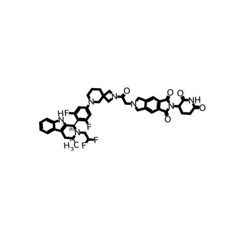 C[C@@H]1Cc2c([nH]c3ccccc23)[C@@H](c2c(F)cc(N3CCCC4(CN(C(=O)CN5Cc6cc7c(cc6C5)C(=O)N(C5CCC(=O)NC5=O)C7=O)C4)C3)cc2F)N1CC(F)F